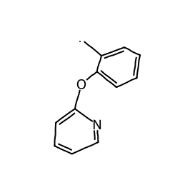 [CH2]c1ccccc1Oc1ccccn1